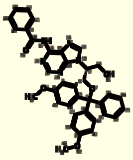 COc1ccc(C(OC[C@@H](CO)n2cnc3c(NC(=O)c4ccccc4)ncnc32)(c2ccccc2)c2ccc(OC)cc2)cc1